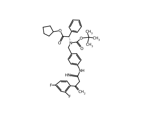 C=C(CC(=N)Nc1ccc(CN(C(=O)OC(C)(C)C)[C@H](C(=O)OC2CCCC2)c2ccccc2)cc1)c1ccc(F)cc1F